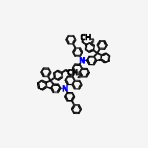 C=Cc1ccc(C2(c3ccccc3)c3ccccc3-c3ccc(N(c4ccc(-c5ccccc5)cc4)c4ccc(-c5ccc(N(c6ccc(-c7ccccc7)cc6)c6ccc7c(c6)C(c6ccccc6)(c6ccc(C=C)cc6)c6ccccc6-7)c6ccccc56)c5ccccc45)cc32)cc1